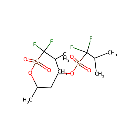 CC(CCOS(=O)(=O)C(F)(F)C(C)C)OS(=O)(=O)C(F)(F)C(C)C